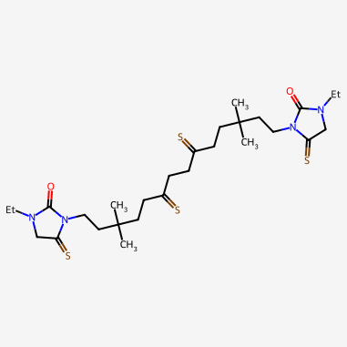 CCN1CC(=S)N(CCC(C)(C)CCC(=S)CCC(=S)CCC(C)(C)CCN2C(=O)N(CC)CC2=S)C1=O